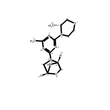 Cc1nc(N2CCOC[C@H]2C)nc(N2C[C@@H]3N[C@H]2CO3)n1